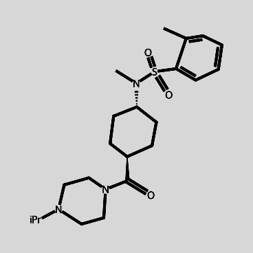 Cc1ccccc1S(=O)(=O)N(C)[C@H]1CC[C@H](C(=O)N2CCN(C(C)C)CC2)CC1